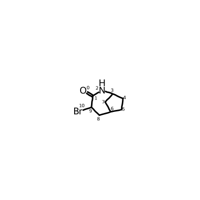 O=C1NC2CCC(C2)CC1Br